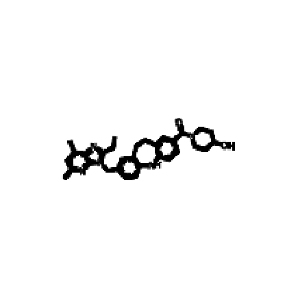 CCc1nc2c(C)cc(C)nc2n1Cc1ccc2c(c1)CCc1cc(C(=O)N3CCC(O)CC3)ccc1N2